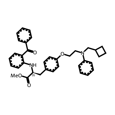 COC(=O)[C@H](Cc1ccc(OCCN(CC2CCC2)c2ccccc2)cc1)Nc1ccccc1C(=O)c1ccccc1